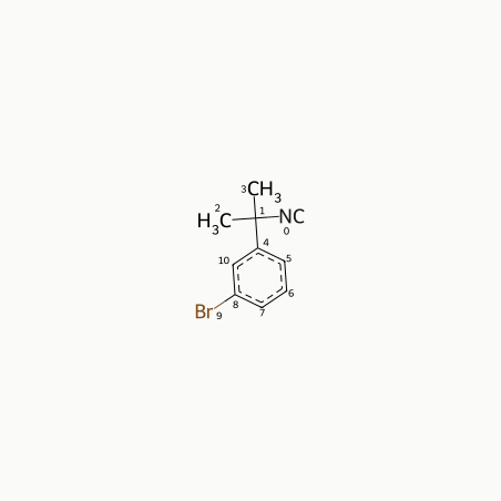 [C-]#[N+]C(C)(C)c1cccc(Br)c1